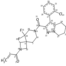 C=CC(=O)N1CC2(CCN(C(=O)c3nn4c(c3-c3ccccc3Cl)CCCC4)CC2(F)F)C1